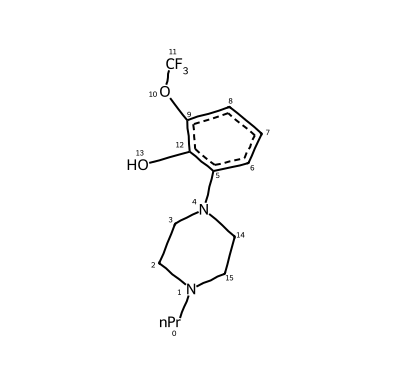 CCCN1CCN(c2cccc(OC(F)(F)F)c2O)CC1